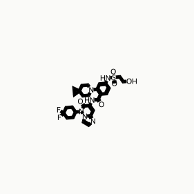 O=C(Nc1cc2nccn2n(C2CCC(F)(F)CC2)c1=O)c1ccc(NS(=O)(=O)CCO)cc1N1CCC2(CC1)CC2